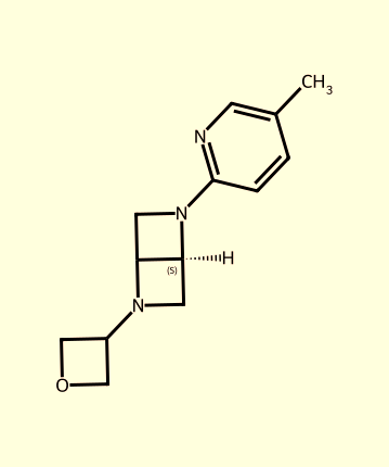 Cc1ccc(N2CC3[C@@H]2CN3C2COC2)nc1